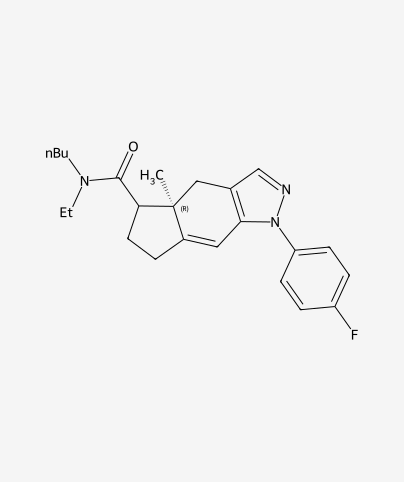 CCCCN(CC)C(=O)C1CCC2=Cc3c(cnn3-c3ccc(F)cc3)C[C@@]21C